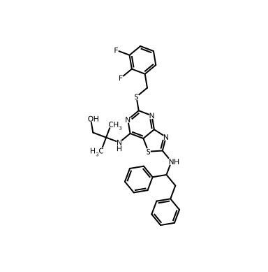 CC(C)(CO)Nc1nc(SCc2cccc(F)c2F)nc2nc(NC(Cc3ccccc3)c3ccccc3)sc12